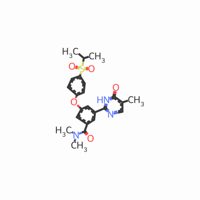 Cc1cnc(-c2cc(Oc3ccc(S(=O)(=O)C(C)C)cc3)cc(C(=O)N(C)C)c2)[nH]c1=O